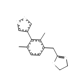 Cc1c(CC2=NCCN2)ccc(Cl)c1-c1cn[nH]c1